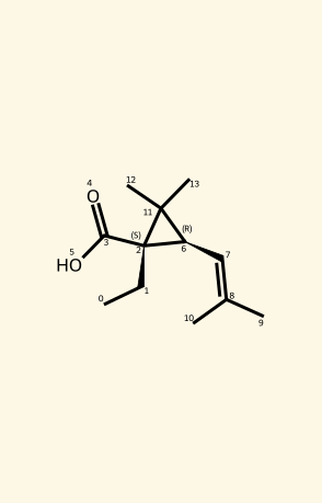 CC[C@]1(C(=O)O)[C@H](C=C(C)C)C1(C)C